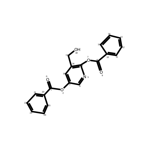 O=C(Oc1cnc(OC(=O)c2ccccc2)c(CO)c1)c1ccccc1